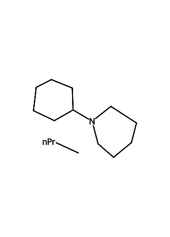 C1CCC(N2CCCCC2)CC1.CCCC